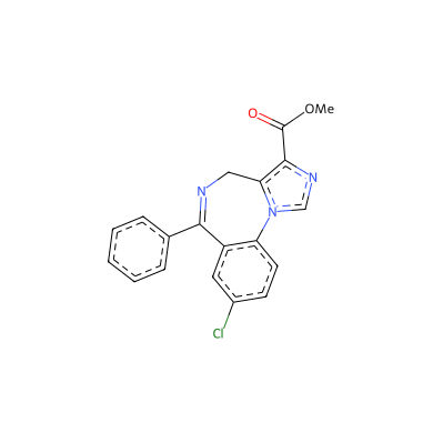 COC(=O)c1ncn2c1CN=C(c1ccccc1)c1cc(Cl)ccc1-2